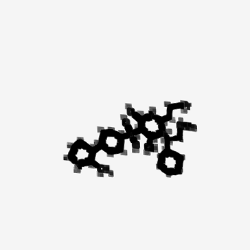 COC[C@@H](c1ccccc1)n1c(CCC(C)C)nc(=O)c(S(=O)(=O)c2ccc(-c3cccnc3C)cc2)c1O